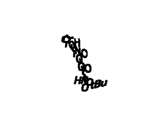 Cc1cccc(C)c1OCC(C)NC(=O)OCOC(=O)CCNC(=O)OC(C)(C)C